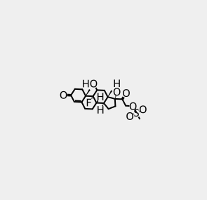 C[C@]12CCC(=O)C=C1CC[C@H]1[C@@H]3CC[C@](O)(C(=O)COS(C)(=O)=O)[C@@]3(C)CC(O)[C@@]12F